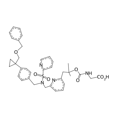 CC(C)(Cc1cccc(CN(Cc2ccc(C3(COCc4ccccc4)CC3)cc2)S(=O)(=O)c2ccccn2)n1)OC(=O)NCC(=O)O